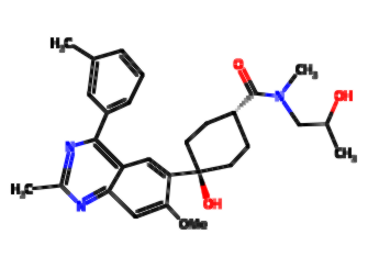 COc1cc2nc(C)nc(-c3cccc(C)c3)c2cc1[C@]1(O)CC[C@H](C(=O)N(C)CC(C)O)CC1